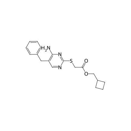 Nc1nc(SCC(=O)OCC2CCC2)ncc1Cc1ccccc1